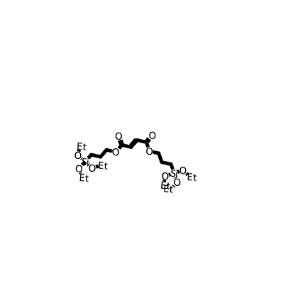 CCO[Si](CCCOC(=O)C=CC(=O)OCCC[Si](OCC)(OCC)OCC)(OCC)OCC